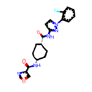 O=C(N[C@H]1CC[C@@H](C(=O)Nc2ccn(-c3ccccc3F)n2)CC1)c1cocn1